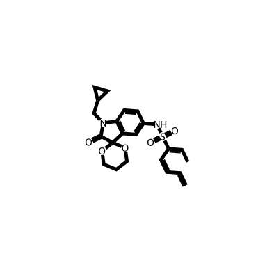 C=C/C=C\C(=C/C)S(=O)(=O)Nc1ccc2c(c1)C1(OCCCO1)C(=O)N2CC1CC1